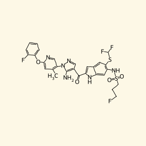 Cc1cc(Oc2ccccc2F)ncc1-n1ncc(C(=O)c2cc3cc(SC(F)F)c(NS(=O)(=O)CCCF)cc3[nH]2)c1N